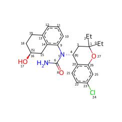 CCC1(CC)C[C@@H](N(C(N)=O)c2cccc3c2C[C@@H](O)CC3)c2ccc(Cl)cc2O1